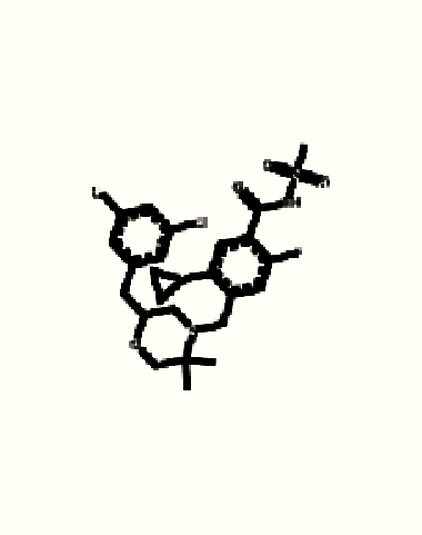 CC1(C)COC(Cc2cc(Cl)cc(Cl)c2)CN1Cc1cc(F)c(C(=O)NS(C)(=O)=O)cc1C1CC1